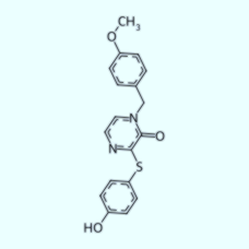 COc1ccc(Cn2ccnc(Sc3ccc(O)cc3)c2=O)cc1